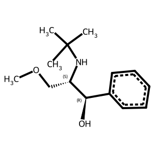 COC[C@H](NC(C)(C)C)[C@H](O)c1ccccc1